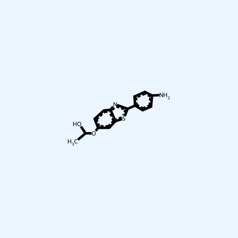 CC(O)Oc1ccc2nc(-c3ccc(N)cc3)sc2c1